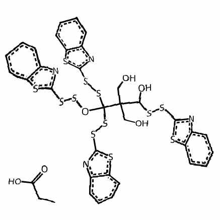 CCC(=O)O.OCC(CO)(C(O)SSc1nc2ccccc2s1)C(OSSc1nc2ccccc2s1)(SSc1nc2ccccc2s1)SSc1nc2ccccc2s1